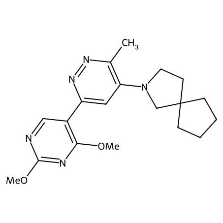 COc1ncc(-c2cc(N3CCC4(CCCC4)C3)c(C)nn2)c(OC)n1